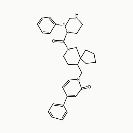 O=C(N1CCC(Cn2ccc(-c3ccccc3)cc2=O)C2(CCCC2)C1)N1CCNC[C@H]1c1ccccc1